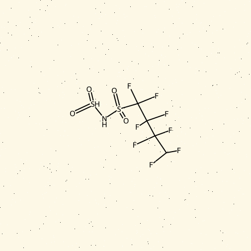 O=[SH](=O)NS(=O)(=O)C(F)(F)C(F)(F)C(F)(F)C(F)F